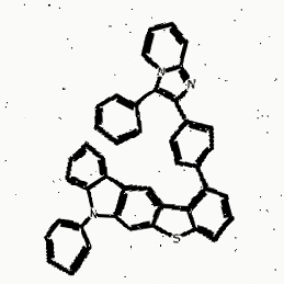 c1ccc(-c2c(-c3ccc(-c4cccc5sc6cc7c(cc6c45)c4ccccc4n7-c4ccccc4)cc3)nc3ccccn23)cc1